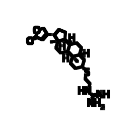 C[C@]12CC[C@H](SCCNC(=N)N)C[C@H]1CC[C@@H]1[C@@H]2CC[C@]2(C)[C@@H](C3=CC(=O)OC3)CC[C@@H]12